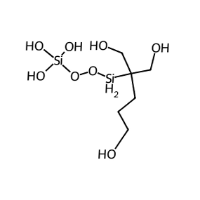 OCCCC(CO)(CO)[SiH2]OO[Si](O)(O)O